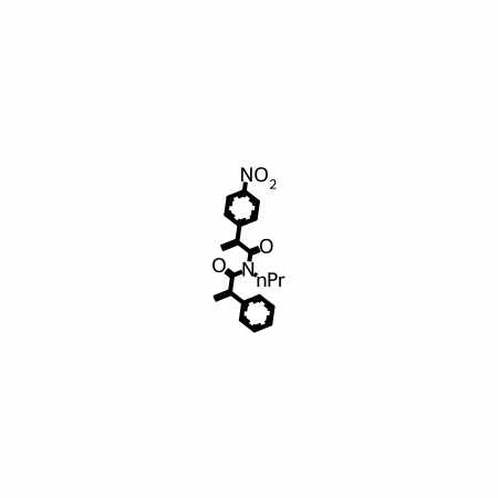 C=C(C(=O)N(CCC)C(=O)C(=C)c1ccc([N+](=O)[O-])cc1)c1ccccc1